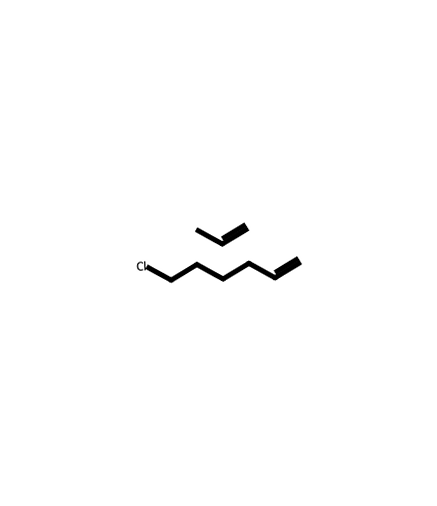 C=CC.C=CCCCCCl